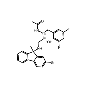 CC(=O)N[C@@H](Cc1cc(F)cc(F)c1)[C@H](O)CNC1(C)c2ccccc2-c2ccc(Br)cc21